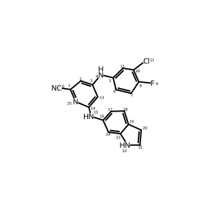 N#Cc1cc(Nc2ccc(F)c(Cl)c2)cc(Nc2ccc3cc[nH]c3c2)n1